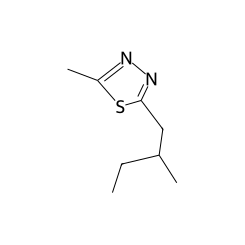 CCC(C)Cc1nnc(C)s1